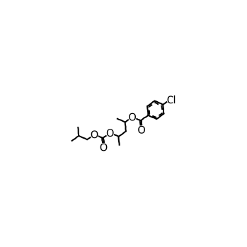 CC(C)COC(=O)OC(C)CC(C)OC(=O)c1ccc(Cl)cc1